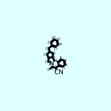 CC(C(C#N)c1ccccc1)N1CC2CC(Cc3ccccc3)CC2C1